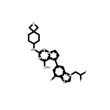 COc1nc(NC2CCC3(CC2)COC3)nn2ccc(-c3cc(F)c4ncn(CC(F)F)c4c3)c12